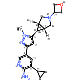 CC(C)n1nc(-c2cnc(N)c(C3CC3)c2)cc1[C@H]1[C@@H]2CN(C3COC3)C[C@@H]21